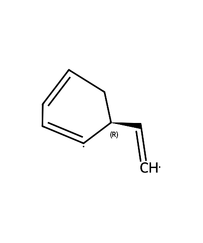 [CH]=C[C@H]1[C]=CC=CC1